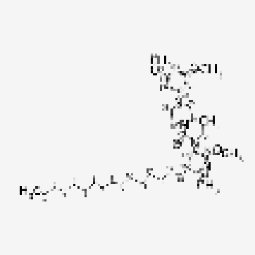 CCCCCCCCCCCCCCCCc1cc(N(CC)C(=O)N2CCN(c3cc(OC)cc(OC)c3)CC2)c(OC)nc1C